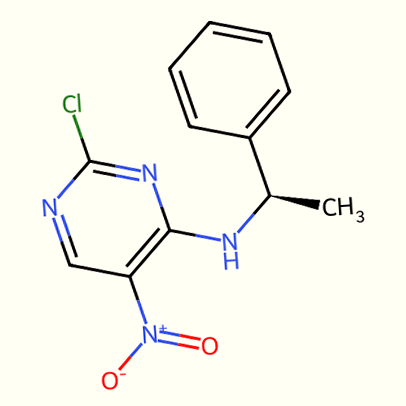 C[C@@H](Nc1nc(Cl)ncc1[N+](=O)[O-])c1ccccc1